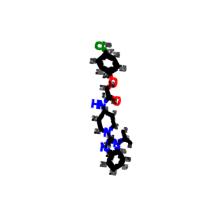 CC(C)n1c(N2CCC(NC(=O)COc3ccc(Cl)cc3)CC2)nc2ccccc21